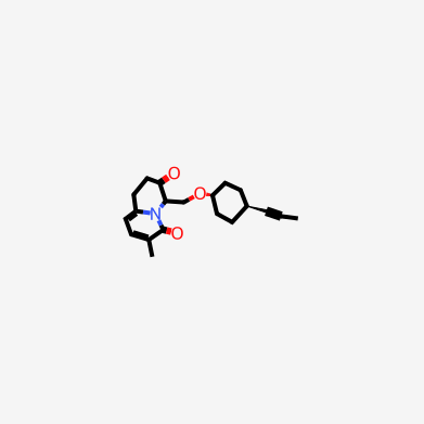 CC#C[C@H]1CC[C@@H](OCC2C(=O)CCc3ccc(C)c(=O)n32)CC1